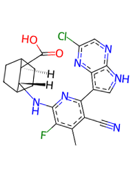 Cc1c(F)c(N[C@@H]2C3CCC(CC3)[C@H]2C(=O)O)nc(-c2c[nH]c3ncc(Cl)nc23)c1C#N